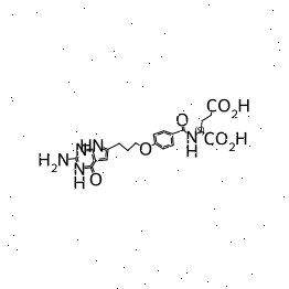 Nc1nc2[nH]c(CCCOc3ccc(C(=O)N[C@@H](CCC(=O)O)C(=O)O)cc3)cc2c(=O)[nH]1